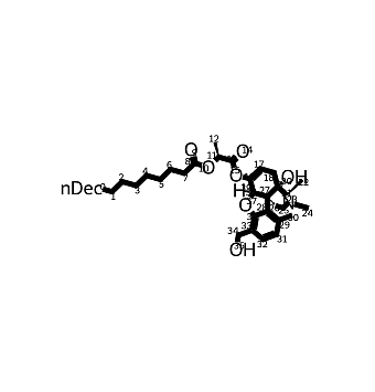 CCCCCCCCCCCCCCCCCC(=O)O[C@@H](C)C(=O)OC1=CC[C@@]2(O)[C@@H](C)N(C)CC[C@@]23c2c(C)ccc(CO)c2O[C@@H]13